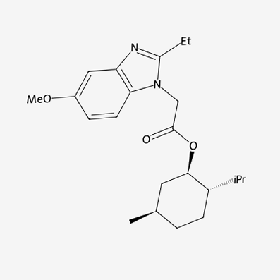 CCc1nc2cc(OC)ccc2n1CC(=O)O[C@@H]1C[C@H](C)CC[C@H]1C(C)C